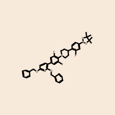 CC1(C)OB(c2ccc(C3CCN(c4c(F)cc(-c5ccc(OCc6ccccc6)nc5OCc5ccccc5)cc4F)CC3)c(F)c2)OC1(C)C